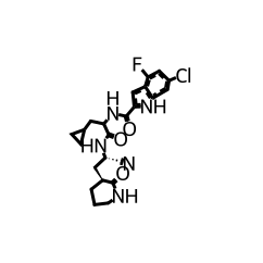 N#C[C@H](C[C@@H]1CCCNC1=O)NC(=O)C(CC1CC1)NC(=O)c1cc2c(F)cc(Cl)cc2[nH]1